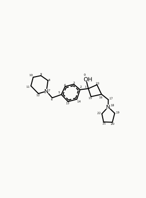 OC1(c2ccc(CN3CCCCC3)cc2)CC(CN2CCCC2)C1